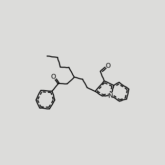 CCCCC(CCc1cn2ccccc2c1C=O)CC(=O)c1ccccc1